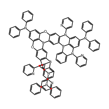 c1ccc(N(c2ccccc2)c2cc3c4c(c2)Oc2cc5c(cc2B4c2cc4c(cc2O3)N(c2ccccn2)c2cc(N(c3ccccc3)c3ccccc3)cc3c2B4c2ccccc2N3c2ccccn2)B2c3ccccc3N(c3ccccn3)c3cc(N(c4ccccc4)c4ccccc4)cc(c32)N5c2ccccn2)cc1